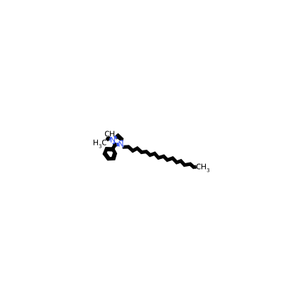 CCCCCCCCCCCCCCCCCCN1C=CN(C(C)C)C1c1ccccc1